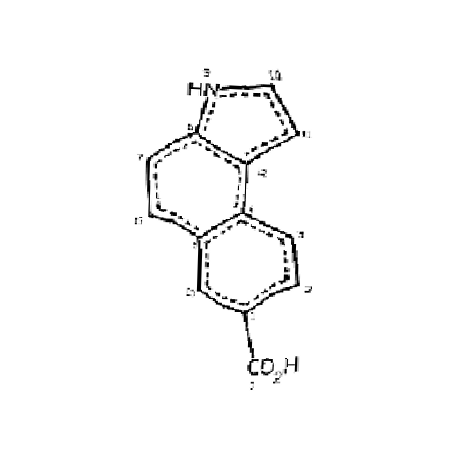 O=C(O)c1ccc2c(ccc3[nH]ccc32)c1